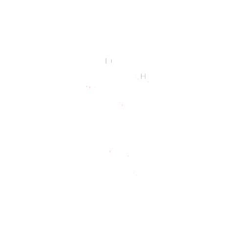 C=C(CC)C(=O)OCC1CC(=O)O1